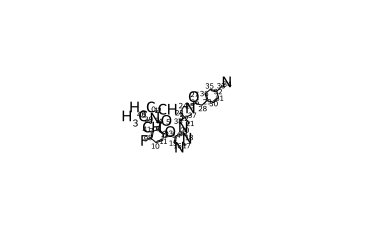 CC(C)N(C(=O)c1cc(F)ccc1Oc1cncnc1N1CC2(CCN(C(=O)Cc3ccc(C#N)cc3)C2)C1)C(C)C